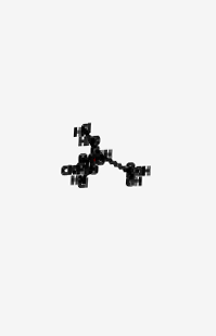 O=C(CCOCC(COCCC(=O)NCCCNCl)(COCCC(=O)NCCCNCl)NC(=O)CCCCCCCCCCC(=O)N1C[C@H](O)C[C@H]1CO)NCCCNCl